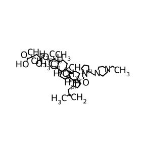 C=C(C)C[C@@H]1CC[C@]2(C(=O)N3CCC[C@H]3CN3CCN(CC)CC3)CC[C@]3(C)[C@H](CC[C@@H]4[C@@]5(C)CC[C@H](OC(=O)CC(C)(C)C(=O)O)C(C)(C)[C@@H]5CC[C@]43C)[C@@H]12